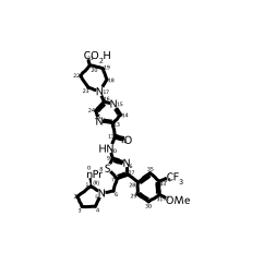 CCC[C@@H]1CCCN1Cc1sc(NC(=O)c2cnc(N3CCC(C(=O)O)CC3)cn2)nc1-c1ccc(OC)c(C(F)(F)F)c1